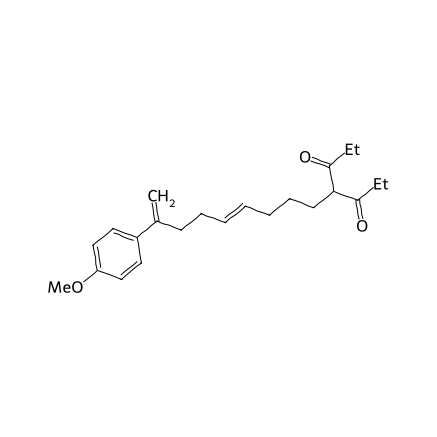 C=C(CC/C=C/CCCC(C(=O)CC)C(=O)CC)c1ccc(OC)cc1